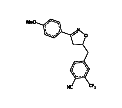 COc1ccc(C2=NOC(Cc3ccc(C#N)c(C(F)(F)F)c3)C2)cc1